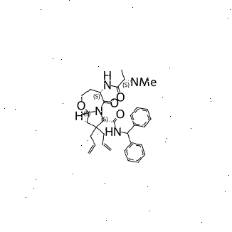 C=CCC1(CC=C)C[C@@H]2OCC[C@H](NC(=O)[C@H](C)NC)C(=O)N2[C@@H]1C(=O)NC(c1ccccc1)c1ccccc1